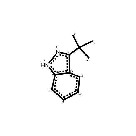 CC(C)(C)c1n[nH]c2ccccc12